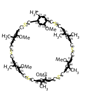 COc1cc2c(C)cc1CSCc1cc(OC)c(cc1C)CSCc1cc(C)c(cc1C)CSCc1cc(C)c(cc1OC)CSCc1cc(C)c(cc1OC)CSCc1cc(C)c(cc1OC)CSC2